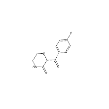 O=C1NCCSC1C(=O)c1ccc(F)cc1